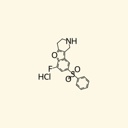 Cl.O=S(=O)(c1ccccc1)c1cc(F)c2oc3c(c2c1)CNCC3